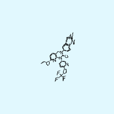 CCOc1ccc2c(n1)N(c1ccc(OC(F)(F)F)nc1)C(=O)N(c1ccc3nn(C)cc3c1)C2